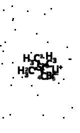 C[Si](C)(C)Cl.[Br-].[Li+]